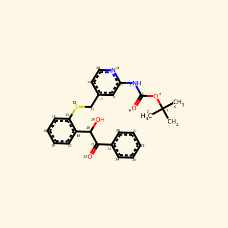 CC(C)(C)OC(=O)Nc1cc(CSc2ccccc2C(O)C(=O)c2ccccc2)ccn1